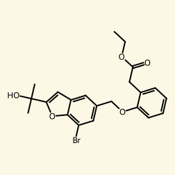 CCOC(=O)Cc1ccccc1OCc1cc(Br)c2oc(C(C)(C)O)cc2c1